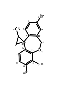 N#CC1C[C@]12c1ccc(Br)cc1COc1c2ccc(F)c1F